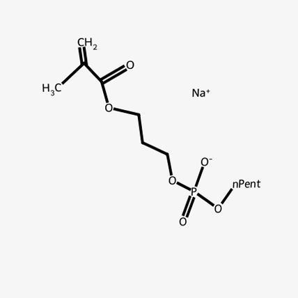 C=C(C)C(=O)OCCCOP(=O)([O-])OCCCCC.[Na+]